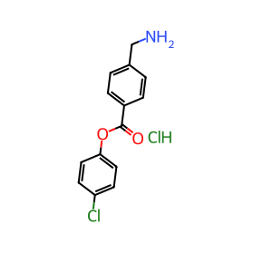 Cl.NCc1ccc(C(=O)Oc2ccc(Cl)cc2)cc1